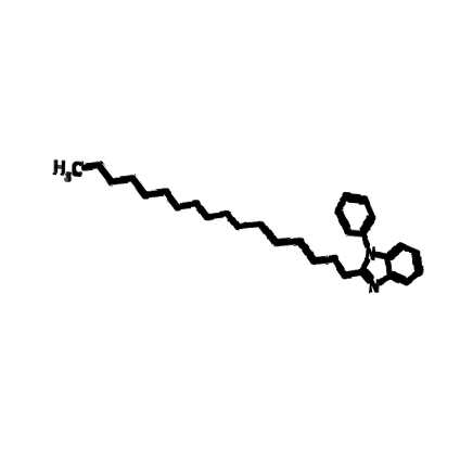 CCCCCCCCCCCCCCCCCc1nc2ccccc2n1-c1ccccc1